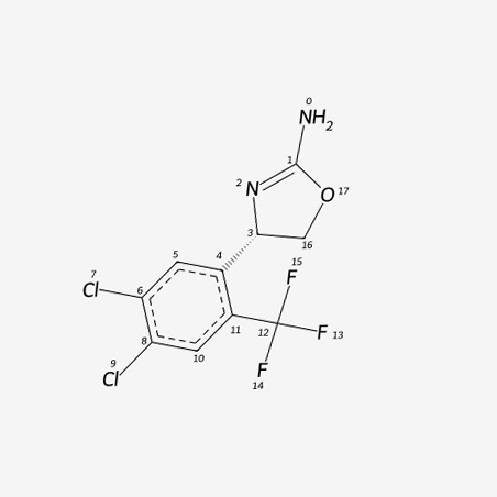 NC1=N[C@@H](c2cc(Cl)c(Cl)cc2C(F)(F)F)CO1